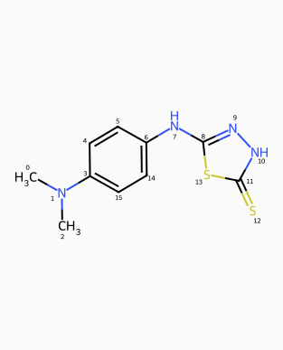 CN(C)c1ccc(Nc2n[nH]c(=S)s2)cc1